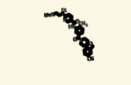 CCN(CCNC)c1ccc(C(=O)Nc2cc(C(=O)N3CCC4(CC3)OCc3cc(C#N)ccc34)ccc2C)cn1